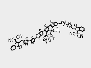 CC1(C)c2c(sc3c2SC(c2cnc(-c4ncc(/C=C5\C(=O)c6ccccc6C5=C(C#N)C#N)s4)s2)C3)-c2sc3c(c21)C(C)(C)c1c-3sc2cc(-c3cnc(-c4ncc(/C=C5\C(=O)c6ccccc6C5=C(C#N)C#N)s4)s3)sc12